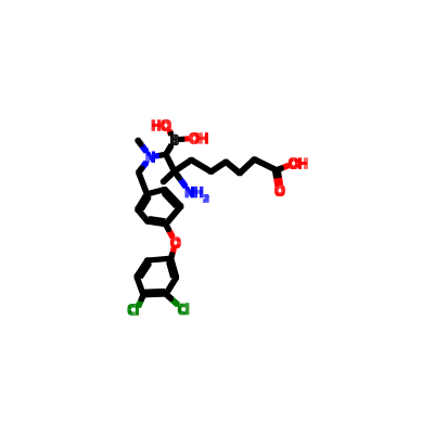 CN(Cc1ccc(Oc2ccc(Cl)c(Cl)c2)cc1)C(B(O)O)C(C)(N)CCCCCC(=O)O